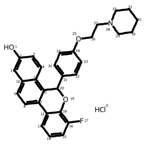 Cl.Oc1ccc2c3c(ccc2c1)-c1cccc(F)c1OC3c1ccc(OCCN2CCCCC2)cc1